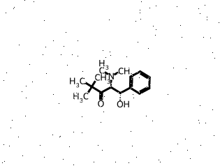 CN(C)[C@H](C(=O)C(C)(C)C)[C@@H](O)c1ccccc1